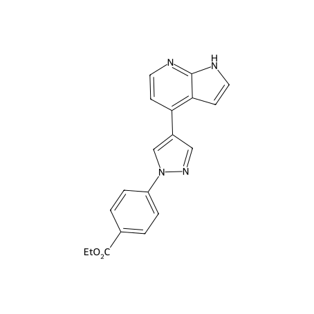 CCOC(=O)c1ccc(-n2cc(-c3ccnc4[nH]ccc34)cn2)cc1